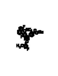 CN1C[C@@H](F)C[C@H]1COc1nc(N2CCN(C(=O)OC(C)(C)C)[C@@H](CC#N)C2)c2cnc(-c3cccc4ccc(F)c(Cl)c34)c(F)c2n1